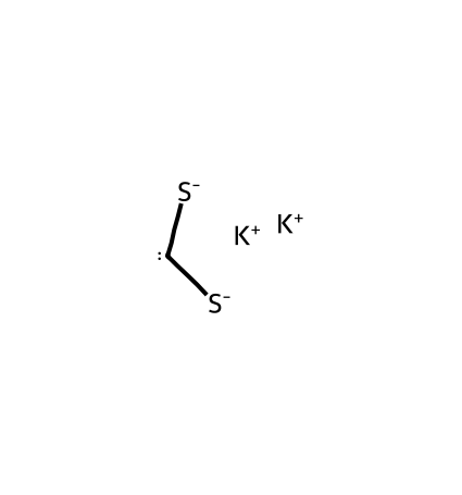 [K+].[K+].[S-][C][S-]